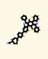 Cc1c2c(-c3ccccc3)nc3cc(-c4ccc(C5=CCC=C(C#N)C=C5)cc4)ccc3c2c(C)c2c(-c3ccccc3)nc3ccccc3c12